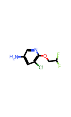 Nc1cnc(OCC(F)F)c(Cl)c1